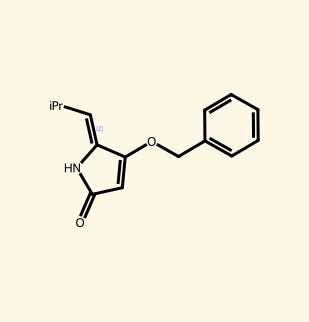 CC(C)/C=C1\NC(=O)C=C1OCc1ccccc1